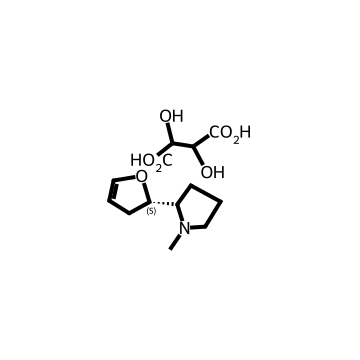 CN1CCCC1[C@@H]1CC=CO1.O=C(O)C(O)C(O)C(=O)O